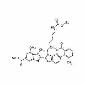 COC(=O)c1cc(OC)c2c(c1)nc(-c1cc3ccc(-c4c(C)cccc4C(=O)OC(C)(C)C)nc3n1CCCCCCNC(=O)OC(C)(C)C)n2C